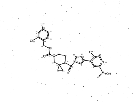 C[C@H](O)c1cc(-c2cc(C(=O)N3CC[C@H](C(=O)NCc4ncc(F)cc4Cl)CC34CC4)n[nH]2)c(F)cn1